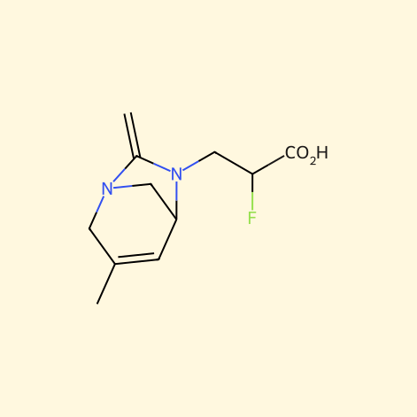 C=C1N2CC(C)=CC(C2)N1CC(F)C(=O)O